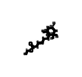 CCOC(=O)CC=CCCC1=C(C)C[C@H](C)CC1(C)C